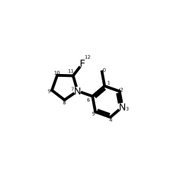 Cc1[c]nccc1N1CCCC1F